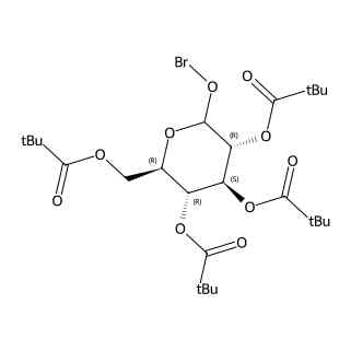 CC(C)(C)C(=O)OC[C@H]1OC(OBr)[C@H](OC(=O)C(C)(C)C)[C@@H](OC(=O)C(C)(C)C)[C@@H]1OC(=O)C(C)(C)C